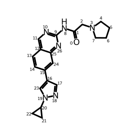 O=C(CN1CCCC1)Nc1ncc2ccc(-c3cnn(C4CC4)c3)cc2n1